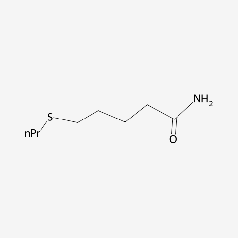 CCCSCCCCC(N)=O